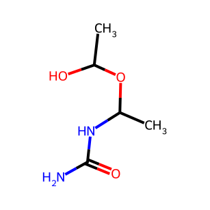 CC(O)OC(C)NC(N)=O